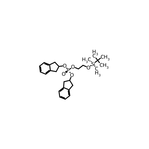 CC(C)(C)[Si](C)(C)OCCOP(=O)(OC1Cc2ccccc2C1)OC1Cc2ccccc2C1